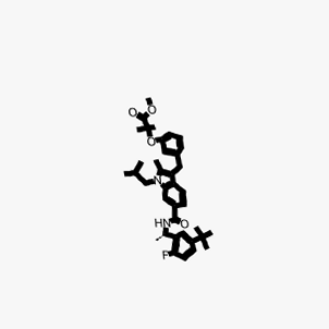 COC(=O)C(C)(C)Oc1cccc(Cc2c(C)n(CC(C)C)c3cc(C(=O)N[C@@H](C)c4cc(C(C)(C)C)ccc4F)ccc23)c1